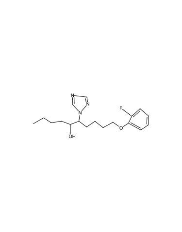 CCCCC(O)C(CCCCOc1ccccc1F)n1cncn1